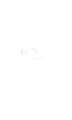 COC1CC(C(=O)O)N(C(=O)OCc2ccccc2)C1